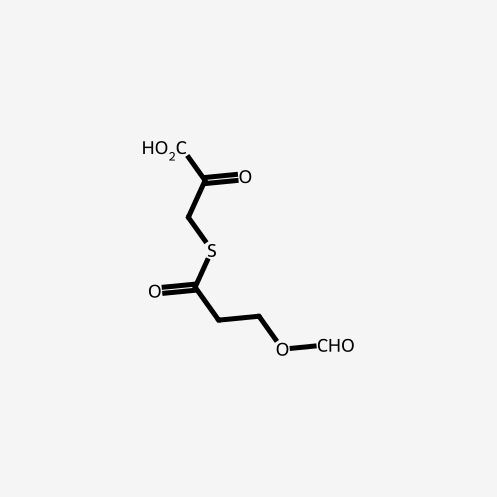 O=COCCC(=O)SCC(=O)C(=O)O